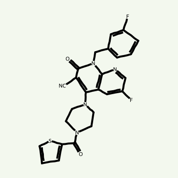 N#Cc1c(N2CCN(C(=O)c3cccs3)CC2)c2cc(F)cnc2n(Cc2cccc(F)c2)c1=O